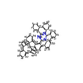 c1ccc(-c2ccccc2-c2nc(-c3ccccc3-c3ccccc3)nc(-c3cccc4c3-c3ccccc3C43c4ccccc4-c4ccccc4-c4ccccc43)n2)cc1